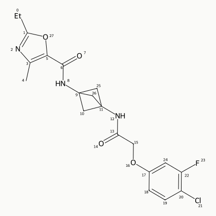 CCc1nc(C)c(C(=O)NC23CC(NC(=O)COc4ccc(Cl)c(F)c4)(C2)C3)o1